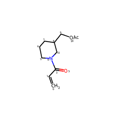 C=CC(=O)N1CCCC(COC(C)=O)C1